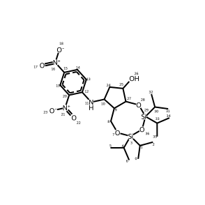 CC(C)[Si]1(C(C)C)OCC2C(Nc3ccc([N+](=O)[O-])cc3[N+](=O)[O-])CC(O)C2O[Si](C(C)C)(C(C)C)O1